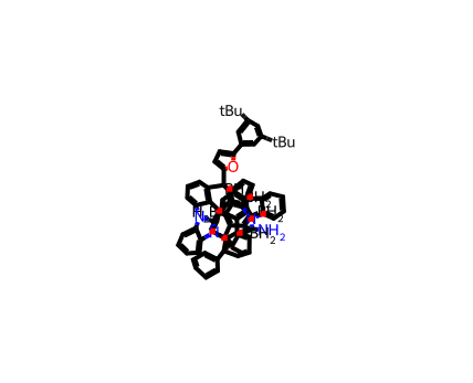 Bc1c(B)c(B)c(C2=C(C)\C=C(/N)n3c4ccccc4c4ccc5c(c43)C3(\C=C\2)c2c(cccc2N2c4ccccc4N(c4c(-c6ccccc6)cccc4-c4ccccc4)C23)C5c2ccc(-c3cc(C(C)(C)C)cc(C(C)(C)C)c3)o2)c(B)c1B